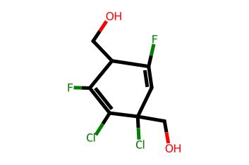 OCC1C(F)=CC(Cl)(CO)C(Cl)=C1F